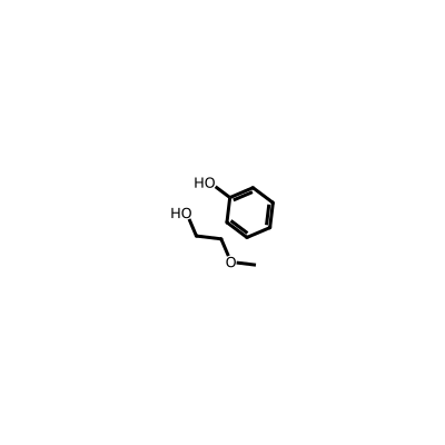 COCCO.Oc1ccccc1